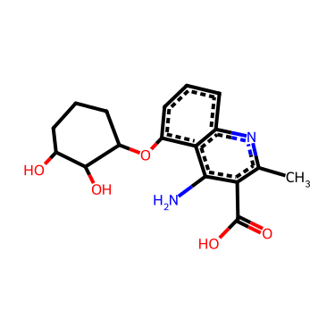 Cc1nc2cccc(OC3CCCC(O)C3O)c2c(N)c1C(=O)O